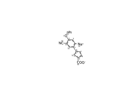 CCCOc1ccc(-c2ccc(C(=O)[O-])s2)cc1C#N.[Na+]